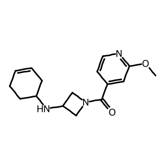 COc1cc(C(=O)N2CC(NC3CC=CCC3)C2)ccn1